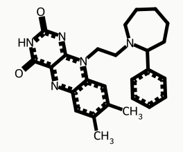 Cc1cc2nc3c(=O)[nH]c(=O)nc-3n(CCN3CCCCCC3c3ccccc3)c2cc1C